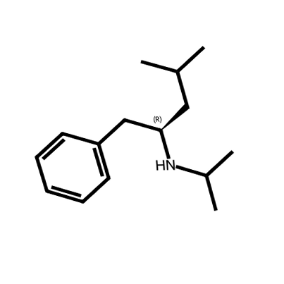 CC(C)C[C@H](Cc1ccccc1)NC(C)C